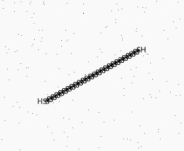 SSSSSSSSSSSSSSSSSSSSSSSSSSSSSSSSSSSSSSSSSSSSSSSSSSS